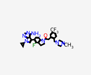 CN1CCN(Cc2ccc(C(F)(F)F)cc2CC(=O)N2CCc3c2ccc(-c2cn(C4CC4)c4ncnc(N)c24)c3F)CC1